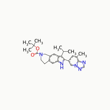 Cc1cc(-c2[nH]c3cc4c(cc3c2C(C)C)CN(C(=O)OC(C)(C)C)CC4)cn2ncnc12